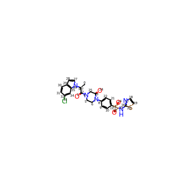 C[C@@H](C(=O)N1CCN(c2ccc(S(=O)(=O)Nc3nccs3)cc2)C(=O)C1)n1ccc2ccc(Cl)cc21